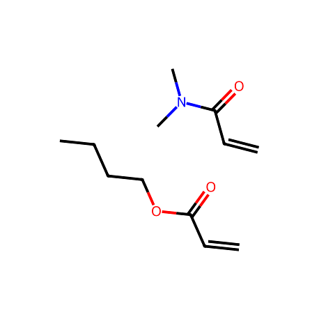 C=CC(=O)N(C)C.C=CC(=O)OCCCC